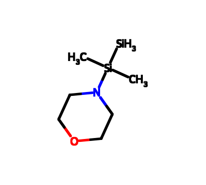 C[Si](C)([SiH3])N1CCOCC1